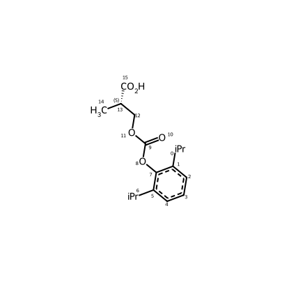 CC(C)c1cccc(C(C)C)c1OC(=O)OC[C@H](C)C(=O)O